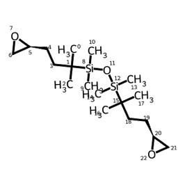 CC(C)(CC[C@H]1CO1)[Si](C)(C)O[Si](C)(C)C(C)(C)CC[C@H]1CO1